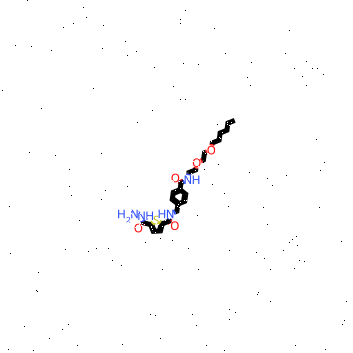 CCCCCCOCCOCCNC(=O)c1ccc(CNC(=O)c2ccc(C(=O)NN)s2)cc1